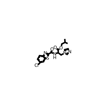 CC(C)COC(=O)C(Cn1ccnc1)NC(=O)c1nc2ccc(Cl)cc2s1